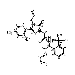 C=CCn1c(-c2ccc(Cl)cc2Br)nn(CC(=O)NC(COCN)c2ccccc2C(F)(F)F)c1=O